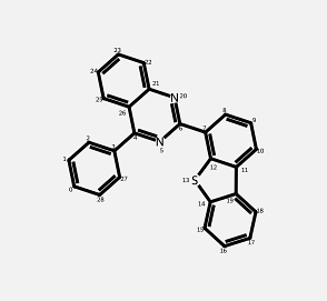 c1ccc(-c2nc(-c3cccc4c3sc3ccccc34)nc3ccccc23)cc1